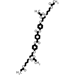 C=CC(=O)OCCCCOCC(COc1ccc(OC(=O)C2CCC(C(=O)Oc3ccc(OCC(COCCCCOC(=O)C=C)OC(=O)C=C)cc3)CC2)cc1)OC(=O)C=C